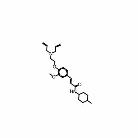 C=CCN(CC=C)CCOc1ccc(/C=C/C(=O)NC2CCC(C)CC2)cc1OC